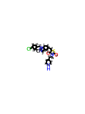 O=C1SC(=Cc2ccc3c(cnn3Cc3ccc(Cl)cc3C(F)(F)F)c2)C(=O)N1CCC1CCNCC1